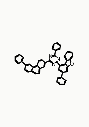 c1ccc(-c2cc(-c3nc(-c4ccccc4)nc(-c4ccc5c(ccc6ccc(-c7ccccc7)cc65)c4)n3)c3c(c2)oc2ccccc23)cc1